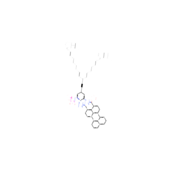 CCCCCCCCCCC(C#Cc1cc([N+](=O)[O-])c2nc3c4ccc5c6cccc7cccc(c8ccc(c(=O)n3c2c1)c4c85)c76)CCCCCCCC